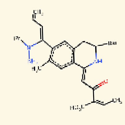 C=C/C=C(/c1cc2c(cc1C)/C(=C/C(=O)/C(=C\C)C(=O)O)NC(C(C)(C)C)C2)N(N)C(C)C